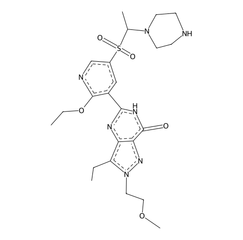 CCOc1ncc(S(=O)(=O)C(C)N2CCNCC2)cc1-c1nc2c(CC)n(CCOC)nc2c(=O)[nH]1